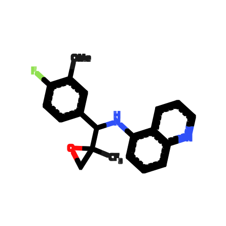 COc1cc(C(Nc2cccc3ncccc23)C2(C(F)(F)F)CO2)ccc1F